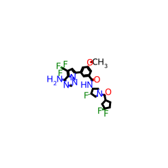 COc1cc(C(=O)N[C@@H]2CN(C(=O)C3CCC(F)(F)C3)C[C@@H]2F)cc(-c2cc(C(F)(F)F)c3c(N)ncnn23)c1